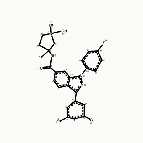 CC1(NC(=O)c2ccc3c(-c4cc(Cl)cc(Cl)c4)nn(-c4ccc(F)cc4)c3c2)CCS(O)(O)C1